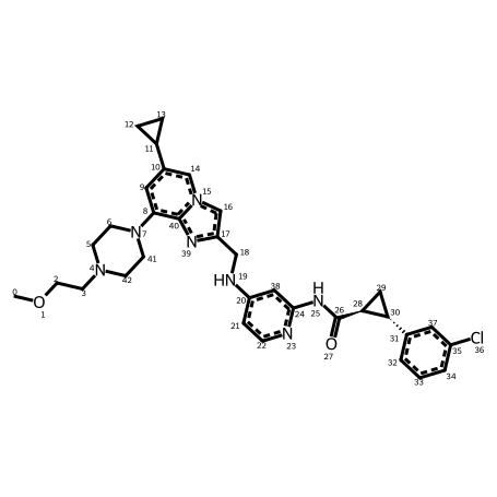 COCCN1CCN(c2cc(C3CC3)cn3cc(CNc4ccnc(NC(=O)[C@H]5C[C@@H]5c5cccc(Cl)c5)c4)nc23)CC1